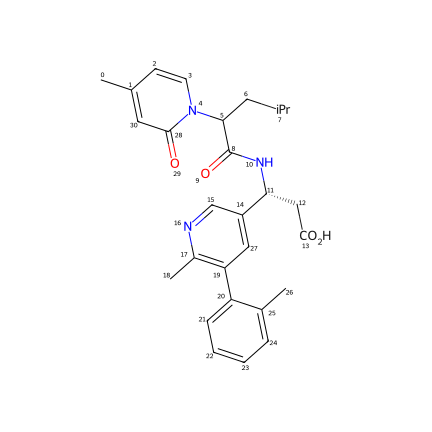 Cc1ccn(C(CC(C)C)C(=O)N[C@H](CC(=O)O)c2cnc(C)c(-c3ccccc3C)c2)c(=O)c1